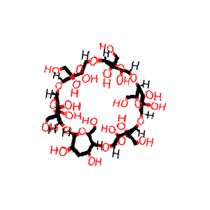 OCC1O[C@@H]2O[C@@H]3C(CO)O[C@H](O[C@@H]4C(CO)O[C@H](O[C@@H]5C(CO)O[C@H](O[C@@H]6C(CO)O[C@H](O[C@H]7C(O)CC(O)[C@H](OC7CO)O[C@H]1C(O)C2O)C(O)C6O)C(O)C5O)C(O)C4O)C(O)C3O